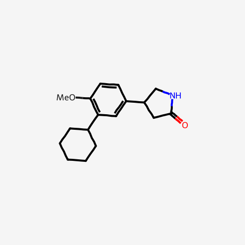 COc1ccc(C2CNC(=O)C2)cc1C1CCCCC1